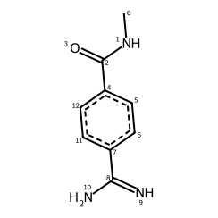 CNC(=O)c1ccc(C(=N)N)cc1